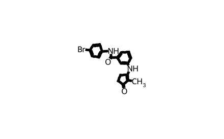 CC1=C(Nc2cccc(C(=O)Nc3ccc(Br)cc3)c2)CCC1=O